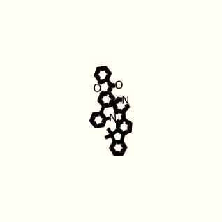 CC1(C)c2ccccc2-c2ccc3c4cnccc4n(-c4ccccc4-c4ccc5c(=O)c6ccccc6oc5c4)c3c21